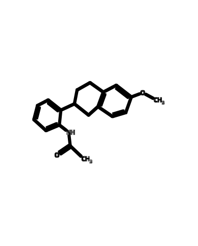 COc1ccc2c(c1)CCC(c1ccccc1NC(C)=O)C2